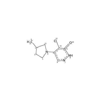 C[C]1CCN(c2cn[nH]c(=O)c2Cl)C1